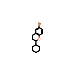 Brc1ccc2c(c1)CCC(C1CCCCC1)O2